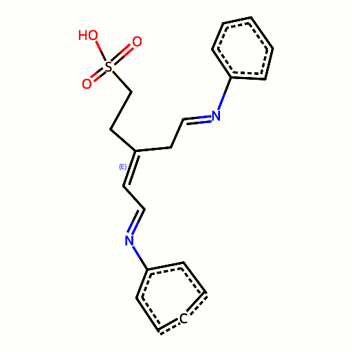 O=S(=O)(O)CC/C(=C/C=Nc1ccccc1)CC=Nc1ccccc1